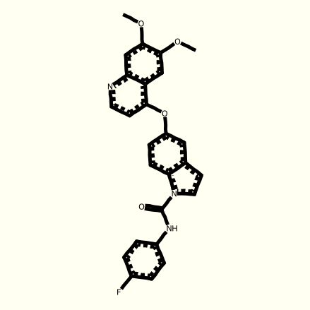 COc1cc2nccc(Oc3ccc4c(ccn4C(=O)Nc4ccc(F)cc4)c3)c2cc1OC